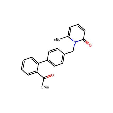 CCCCc1cccc(=O)n1Cc1ccc(-c2ccccc2C(=O)OC)cc1